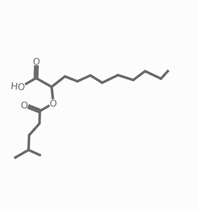 CCCCCCCCCC(OC(=O)CCC(C)C)C(=O)O